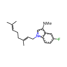 CNc1cn(C/C=C(\C)CCC=C(C)C)c2ccc(F)cc12